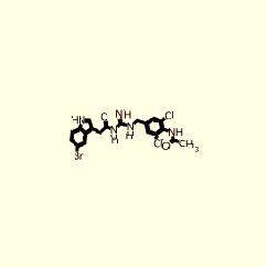 CC(=O)Nc1c(Cl)cc(CNC(=N)NC(=O)Cc2c[nH]c3ccc(Br)cc23)cc1Cl